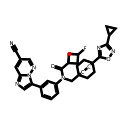 N#Cc1cnn2c(-c3cccc(N(CC45CCC(c6nc(C7CC7)no6)(CC4)CC5)C(=O)C45CC(F)(C4)C5)c3)cnc2c1